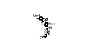 CNc1cc2[nH]c(=O)n(-c3ccc(NC(=O)NS(=O)(=O)c4ccc(Cl)s4)cc3)c(=O)c2cc1F.[NaH]